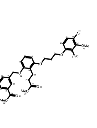 CCCc1c(OCCCOc2cccc(OCc3cccc(C(=O)OC)c3)c2CCC(=O)OC)ccc(C(C)=O)c1OC